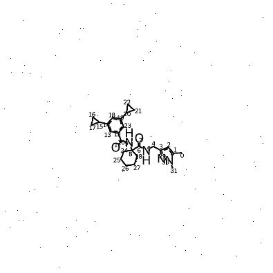 Cc1cc(CNC(=O)C2(NC(=O)c3cc(C4CC4)cc(C4CC4)c3)CCCCC2)nn1C